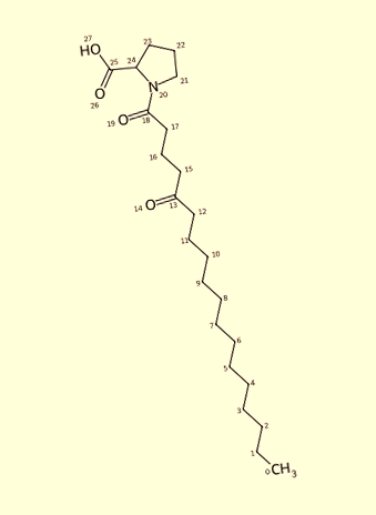 CCCCCCCCCCCCCC(=O)CCCC(=O)N1CCCC1C(=O)O